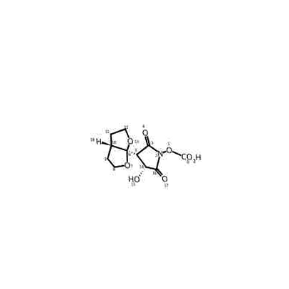 O=C(O)ON1C(=O)C([C@]23OCC[C@@H]2CCO3)[C@@H](O)C1=O